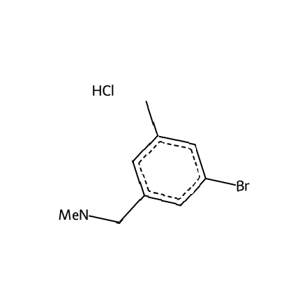 CNCc1cc(C)cc(Br)c1.Cl